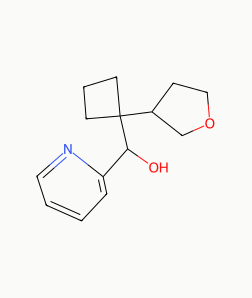 OC(c1ccccn1)C1(C2CCOC2)CCC1